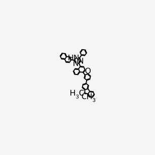 CC1(C)c2ccccc2-c2cc(-c3ccc4oc5cc(C6=NC(c7ccccc7)NC(c7ccc8ccccc8c7)=N6)c6ccccc6c5c4c3)ccc21